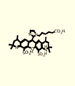 CC1CC(C)(C)Nc2c1cc1c(c2S(=O)(=O)O)Oc2c(S(=O)(=O)O)c3c(cc2=C1c1nccn1CCCCCC(=O)O)C(C)CC(C)(C)N=3